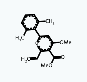 C=Cc1nc(-c2c(C)cccc2C)cc(OC)c1C(=O)OC